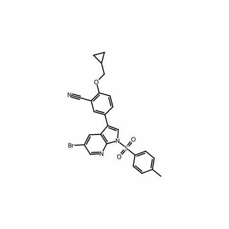 Cc1ccc(S(=O)(=O)n2cc(-c3ccc(OCC4CC4)c(C#N)c3)c3cc(Br)cnc32)cc1